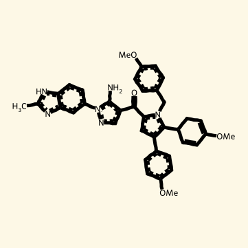 COC1=CCC(c2c(-c3ccc(OC)cc3)cc(C(=O)c3cnn(-c4ccc5[nH]c(C)nc5c4)c3N)n2Cc2ccc(OC)cc2)C=C1